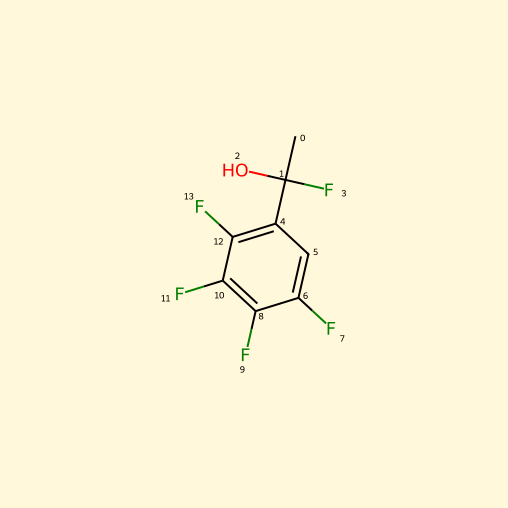 CC(O)(F)c1cc(F)c(F)c(F)c1F